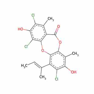 CC=C(C)c1c(Cl)c(O)c(C)c2c1Oc1c(Cl)c(O)c(Cl)c(C)c1C(=O)O2